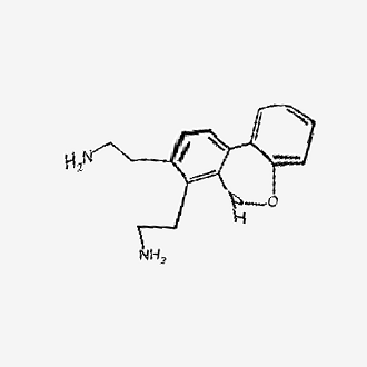 NCCc1ccc2c(c1CCN)POc1ccccc1-2